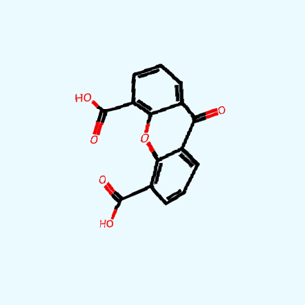 O=C(O)c1cccc2c(=O)c3cccc(C(=O)O)c3oc12